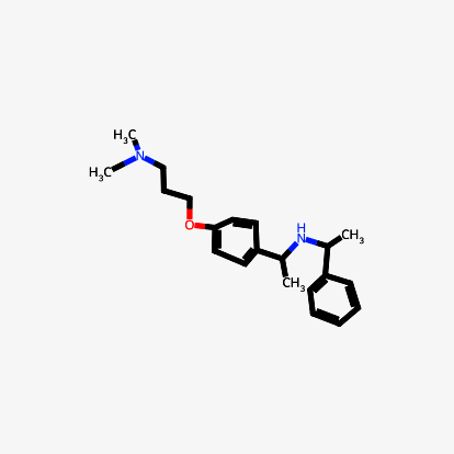 CC(NC(C)c1ccc(OCCCN(C)C)cc1)c1ccccc1